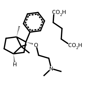 CN(C)CCO[C@]1(c2ccccc2)C[C@H]2CC[C@]1(C)C2(C)C.O=C(O)CCCC(=O)O